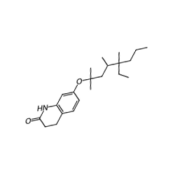 CCCC(C)(CC)C(C)CC(C)(C)Oc1ccc2c(c1)NC(=O)CC2